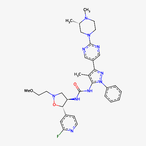 COCCN1C[C@@H](NC(=O)Nc2c(C)c(-c3cnc(N4CCN(C)[C@@H](C)C4)nc3)nn2-c2ccccc2)[C@H](c2ccnc(F)c2)O1